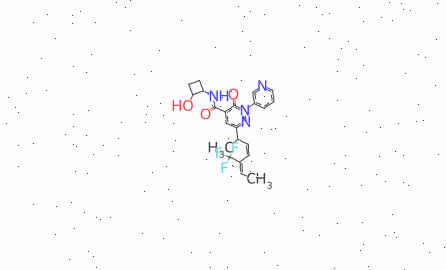 C/C=C(\C=C/C(C)c1cc(C(=O)N[C@@H]2CC[C@@H]2O)c(=O)n(-c2cccnc2)n1)C(F)(F)F